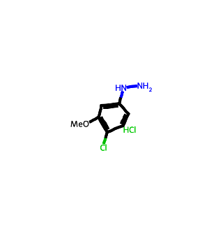 COc1cc(NN)ccc1Cl.Cl